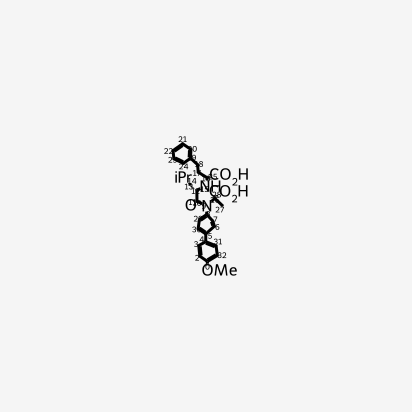 COc1ccc(-c2ccc(N(C(=O)[C@H](CC(C)C)N[C@@H](CCc3ccccc3)C(=O)O)[C@@H](C)C(=O)O)cc2)cc1